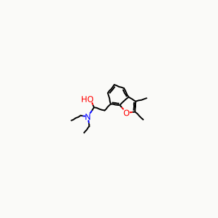 CCN(CC)C(O)Cc1cccc2c(C)c(C)oc12